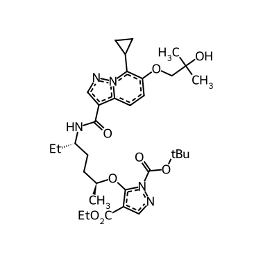 CCOC(=O)c1cnn(C(=O)OC(C)(C)C)c1O[C@@H](C)CC[C@H](CC)NC(=O)c1cnn2c(C3CC3)c(OCC(C)(C)O)ccc12